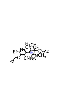 C=C/C(=C\c1c(C)nc(CC)c(OCC2CC2)c1C#N)C(O)(c1cnnn1C)C1CN(C(C)=O)C1